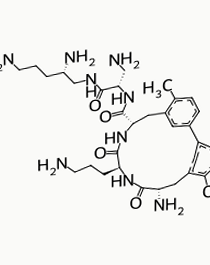 Cc1ccc2cc1C[C@@H](C(=O)N[C@@H](CN)C(=O)NC[C@@H](N)CCCN)NC(=O)[C@H](CCCN)NC(=O)[C@@H](N)Cc1cc-2ccc1O